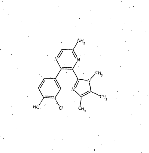 Cc1nc(-c2nc(N)cnc2-c2ccc(O)c(Cl)c2)n(C)c1C